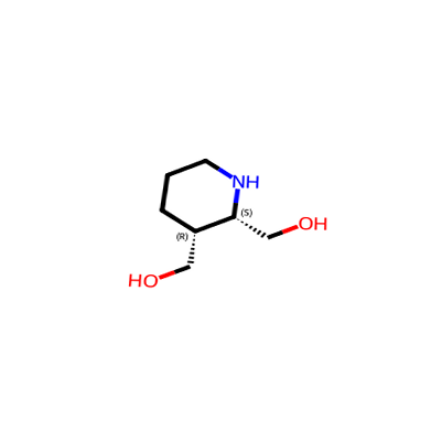 OC[C@@H]1CCCN[C@@H]1CO